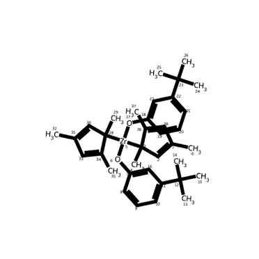 CC1=C[C](C)([Zr]([O]c2cccc(C(C)(C)C)c2)([O]c2cccc(C(C)(C)C)c2)[C]2(C)C=C(C)C=C2C)C(C)=C1